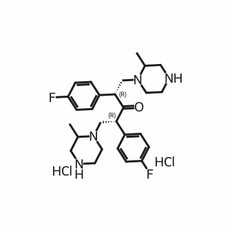 CC1CNCCN1C[C@H](C(=O)[C@@H](CN1CCNCC1C)c1ccc(F)cc1)c1ccc(F)cc1.Cl.Cl